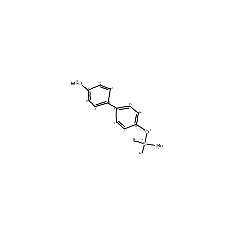 COc1ccc(-c2ccc(O[Si](C)(C)C(C)(C)C)cc2)cc1